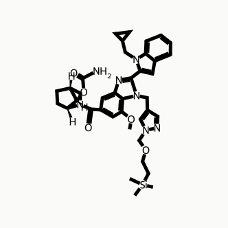 COc1cc(C(=O)N2C[C@H]3CC[C@@H]2[C@@H]3OC(N)=O)cc2nc(-c3cc4ccccc4n3CC3CC3)n(Cc3cnn(COCC[Si](C)(C)C)c3)c12